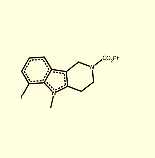 CCOC(=O)N1CCc2c(c3cccc(I)c3n2C)C1